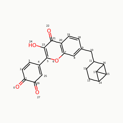 O=C1C=CC(c2oc3cc(CC4CCC5C6C4C56)ccc3c(=O)c2O)=CC1=O